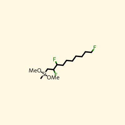 CO[Si](C)(CC(F)C(F)CCCCCCCF)OC